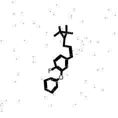 CC1(C)C(C/C=C\c2ccc(F)c(Oc3ccccc3)c2)C1(C)C